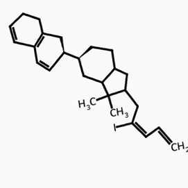 C=C/C=C(/I)CC1CC2CC[C@H]([C@H]3C=CC4=C(CCC=C4)C3)CC2C1(C)C